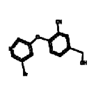 N#Cc1cc(CO)ccc1Oc1cncc(Br)c1